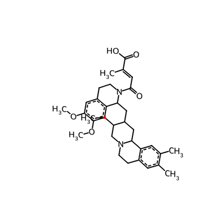 CCC1CN2CCc3cc(C)c(C)cc3C2CC1CC1c2cc(OC)c(OC)cc2CCN1C(=O)/C=C(\C)C(=O)O